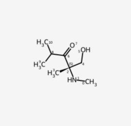 CN[C@@](C)(CO)C(=O)C(C)C